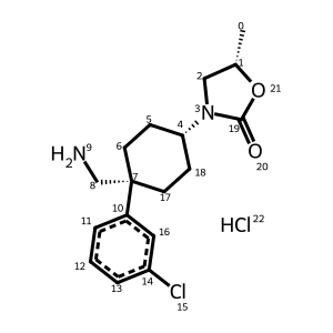 C[C@H]1CN([C@H]2CC[C@](CN)(c3cccc(Cl)c3)CC2)C(=O)O1.Cl